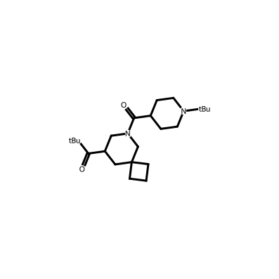 CC(C)(C)C(=O)C1CN(C(=O)C2CCN(C(C)(C)C)CC2)CC2(CCC2)C1